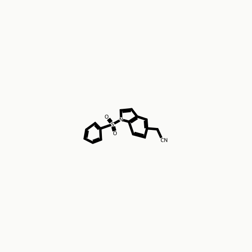 N#CCc1ccc2c(ccn2S(=O)(=O)c2ccccc2)c1